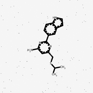 CC(C)SCc1cc(N)nc(-c2ccc3[nH]ccc3c2)n1